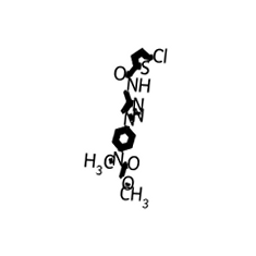 COCC(=O)N(C)c1ccc(-n2cc(CNC(=O)c3ccc(Cl)s3)nn2)cc1